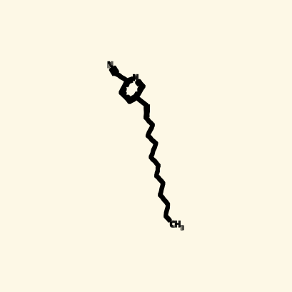 CCCCCCCCCCCC=Cc1ccc(C#N)nc1